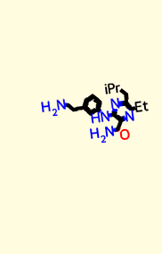 CCc1nc(C(N)=O)c(Nc2cccc(CCN)c2)nc1CC(C)C